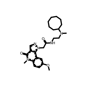 COc1ccc2c(c1)c1c(cnn1CC(=O)NCCN(C)C1CCCCCCC1)c(=O)n2C